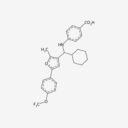 Cc1oc(-c2ccc(OC(F)(F)F)cc2)cc1C(Nc1ccc(C(=O)O)cc1)C1CCCCC1